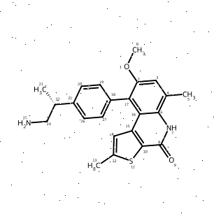 COc1cc(C)c2[nH]c(=O)c3sc(C)cc3c2c1-c1ccc([C@@H](C)CN)cc1